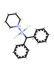 F[N+](F)(C(c1ccccc1)c1ccccc1)N1CCCCC1